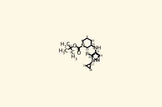 CC(C)(C)OC(=O)N1CCCC(Nc2cnn(C3CC3)c2F)C1